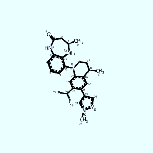 C[C@@H]1CC(=O)Nc2cccc(N3CC[C@@H](C)c4cc(-c5cnn(C)c5)c(C(F)F)cc43)c2N1